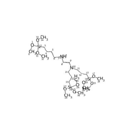 CO[Si](CCCCNCCN(CCC[Si](OC)(OC)OC)CCC[Si](OC)(OC)OC)(OC)OC